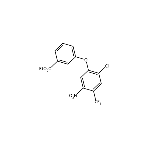 CCOC(=O)c1cccc(Oc2cc([N+](=O)[O-])c(C(F)(F)F)cc2Cl)c1